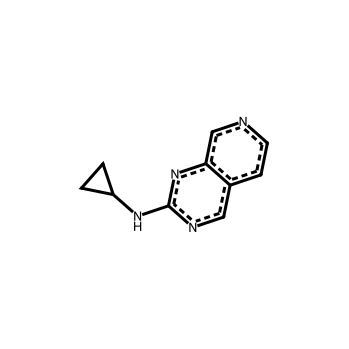 c1cc2cnc(NC3CC3)nc2cn1